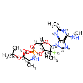 CNc1nc(C)nc2c1ncn2[C@@H]1O[C@@H]2COP(=O)(N[C@@H](C)C(=O)OC(C)C)O[C@H]2[C@@]1(C)F